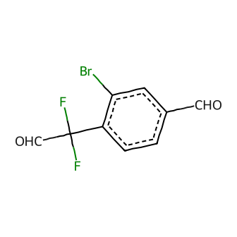 O=Cc1ccc(C(F)(F)C=O)c(Br)c1